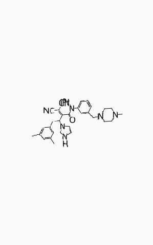 Cc1cc(C)cc(CC(C(C(=O)N(c2cccc(CN3CCN(C)CC3)c2)C(C)C)=C(C#N)C#N)N2CCNC2)c1